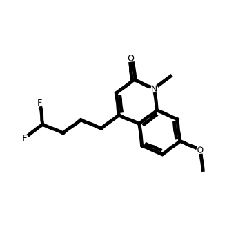 COc1ccc2c(CCCC(F)F)cc(=O)n(C)c2c1